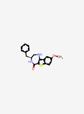 COc1ccc2sc3c(c2c1)NC[C@H](Cc1ccccc1)NC3=O